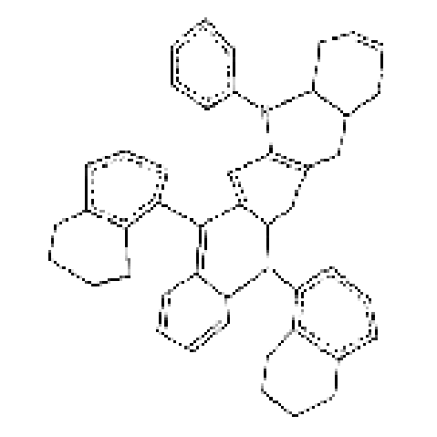 C1=CC2=C(c3cccc4c3CCCC4)C3=CC4=C(CC5CC=CCC5N4c4ccccc4)CC3C(c3cccc4c3CCCC4)C2C=C1